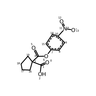 O=C(O)C1(C(=O)Oc2ccc([N+](=O)[O-])cc2)CCCC1